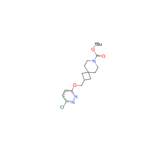 CC(C)(C)OC(=O)N1CCC2(CC1)CC(COc1ccc(Cl)nn1)C2